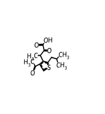 CC(=O)c1csc(CC(C)C)c1C(C)C(=O)C(=O)O